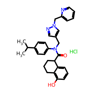 CC(C)c1ccc(N(Cc2cnn(Cc3ccccn3)c2)C(=O)C2CCCc3c(O)cccc32)cc1.Cl